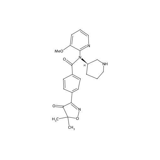 COc1cccnc1N(C(=O)c1ccc(C2=NOC(C)(C)C2=O)cc1)[C@@H]1CCCNC1